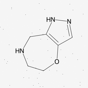 c1n[nH]c2c1OCCNC2